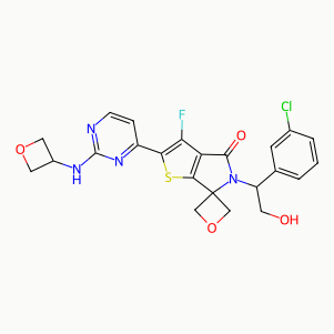 O=C1c2c(sc(-c3ccnc(NC4COC4)n3)c2F)C2(COC2)N1C(CO)c1cccc(Cl)c1